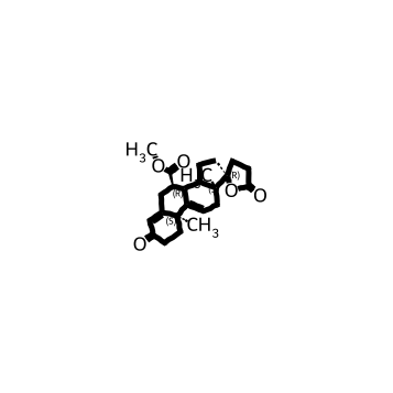 COC(=O)[C@@H]1CC2=CC(=O)CC[C@]2(C)C2=CC[C@@]3(C)C(CC[C@@]34CCC(=O)O4)C21